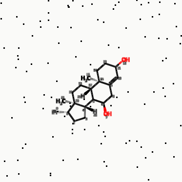 CC(C)[C@H]1CC[C@H]2C3[C@H](O)CC4=CC(O)CC[C@]4(C)[C@H]3CC[C@]12C